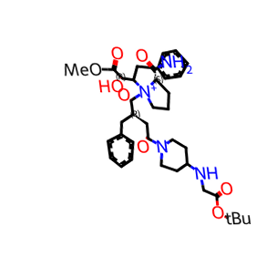 COC(=O)[C@H](O)C(Cc1ccccc1)[N+]1(C(=O)[C@@H](CC(=O)N2CCC(NCC(=O)OC(C)(C)C)CC2)Cc2ccccc2)CCC[C@H]1C(N)=O